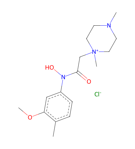 COc1cc(N(O)C(=O)C[N+]2(C)CCN(C)CC2)ccc1C.[Cl-]